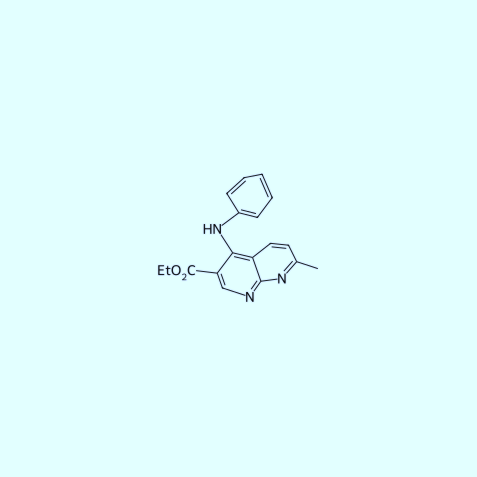 CCOC(=O)c1cnc2nc(C)ccc2c1Nc1ccccc1